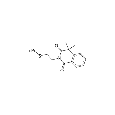 CCCSCCN1C(=O)c2ccccc2C(C)(C)C1=O